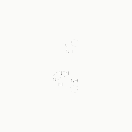 Nc1nccn2c(C3CCC(CNC(=O)c4ccccc4)CC3)nc(C3Cc4ccccc4N3)c12